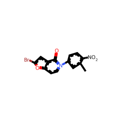 Cc1cc(-n2ccc3oc(Br)cc3c2=O)ccc1[N+](=O)[O-]